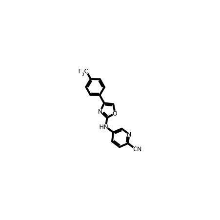 N#Cc1ccc(Nc2nc(-c3ccc(C(F)(F)F)cc3)co2)cn1